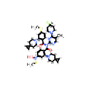 CSc1ccc(C(=O)N(C(=O)c2ccc(N(O)SC)cc2N2CCC3(CC2)CC3)c2ncc(C)c(N3CCC(F)(F)CC3)n2)c(N2CCC3(CC2)CC3)c1